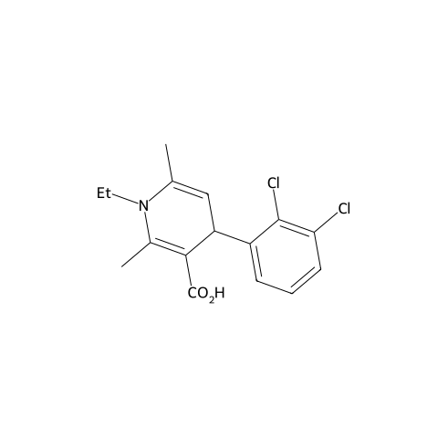 CCN1C(C)=CC(c2cccc(Cl)c2Cl)C(C(=O)O)=C1C